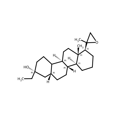 CC[C@@]1(O)CCC2[C@H](CC[C@@H]3[C@@H]2CC[C@]2(C)[C@@H](C4(C)CO4)CCC[C@@H]32)C1